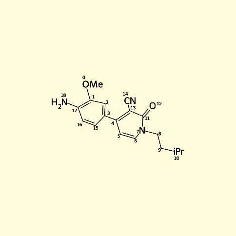 COc1cc(-c2ccn(CCC(C)C)c(=O)c2C#N)ccc1N